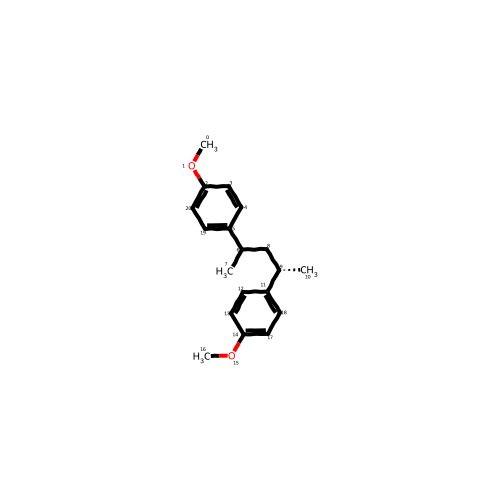 COc1ccc(C(C)C[C@H](C)c2ccc(OC)cc2)cc1